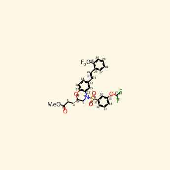 COC(=O)CC[C@H]1CN(S(=O)(=O)c2cccc(OC(F)F)c2)c2cc(/C=C/c3ccccc3C(F)(F)F)ccc2O1